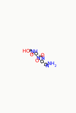 C[C@H](CO)NC(=O)c1cccc(CN2C(=O)c3ccc(-c4ccnc(N)c4)cc3N(C)C(=O)[C@H]2C)c1